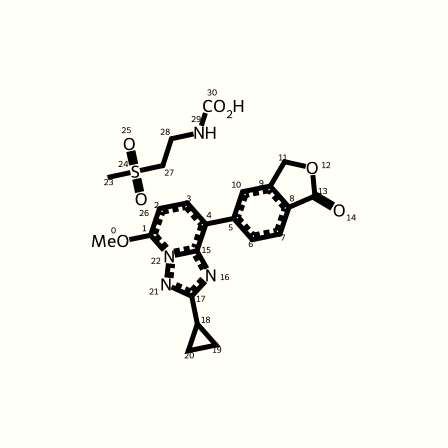 COc1ccc(-c2ccc3c(c2)COC3=O)c2nc(C3CC3)nn12.CS(=O)(=O)CCNC(=O)O